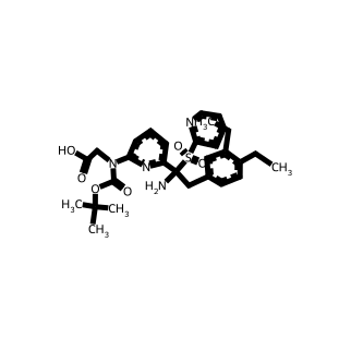 CCc1ccc(CC(N)(c2cccc(N(CC(=O)O)C(=O)OC(C)(C)C)n2)S(=O)(=O)c2ccccn2)cc1CC